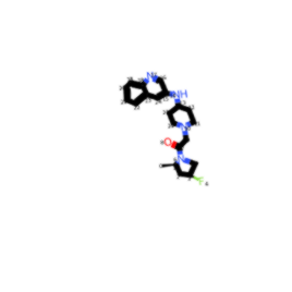 C[C@@H]1C[C@H](F)CN1C(=O)CN1CCC(Nc2cnc3ccccc3c2)CC1